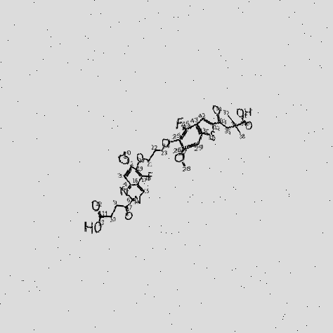 COc1cc2nc(C(=O)CCC(=O)O)ncc2c(F)c1OCCCOc1c(OC)cc2sc(C(=O)CC(C)(C)C(=O)O)cc2c1F